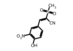 CS(=O)(=O)/C(C#N)=C/c1ccc(O)c([N+](=O)[O-])c1